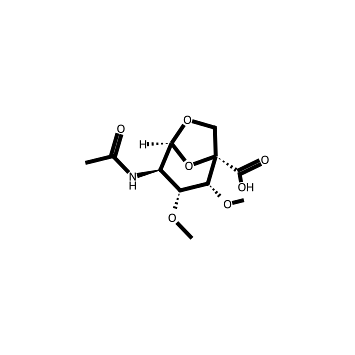 CO[C@@H]1[C@@H](NC(C)=O)[C@H]2OC[C@](C(=O)O)(O2)[C@@H]1OC